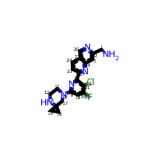 NCc1cc2nc(-c3nc(N4CCNC5(CC5)C4)cc(F)c3Cl)ccc2cn1